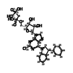 O=P(O)(O)CP(=O)(O)OC[C@H]1O[C@@H](n2cnc3c(N4CC(c5ccccc5)c5ccccc54)nc(Cl)nc32)C(O)C1O